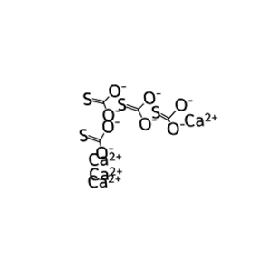 [Ca+2].[Ca+2].[Ca+2].[Ca+2].[O-]C([O-])=S.[O-]C([O-])=S.[O-]C([O-])=S.[O-]C([O-])=S